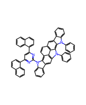 c1ccc(-n2c3ccccc3c3cc4ccc5c6c4c(c32)n(-c2ccccc2)c6cc2c3ccccc3n(-c3nc(-c4cccc6ccccc46)cc(-c4cccc6ccccc46)n3)c25)cc1